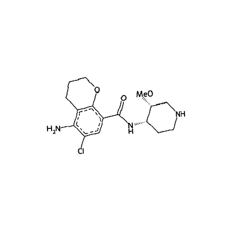 CO[C@@H]1CNCC[C@@H]1NC(=O)c1cc(Cl)c(N)c2c1OCCC2